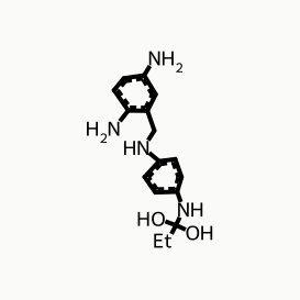 CCC(O)(O)Nc1ccc(NCc2cc(N)ccc2N)cc1